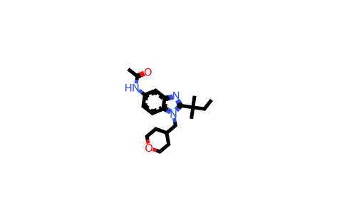 CCC(C)(C)c1nc2cc(NC(C)=O)ccc2n1CC1CCOCC1